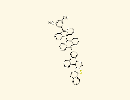 N#Cc1cc(C#N)cc(-c2c3ccccc3c(-c3c4ccccc4c(-c4ccc5c(c4)c4ccccc4c4c5ccc5sc6c7ccccc7ccc6c54)c4ccccc34)c3ccccc23)c1